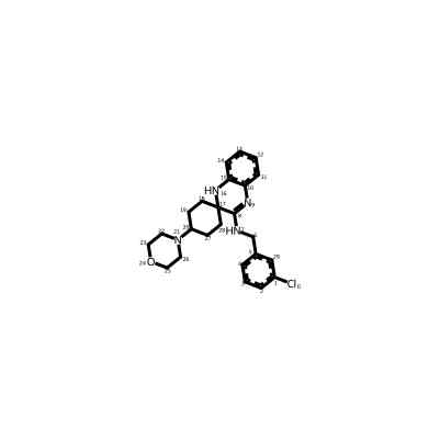 Clc1cccc(CNC2=Nc3ccccc3NC23CCC(N2CCOCC2)CC3)c1